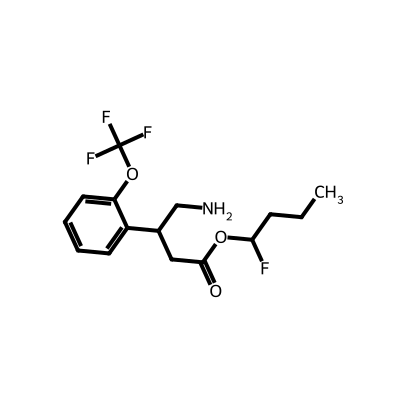 CCCC(F)OC(=O)CC(CN)c1ccccc1OC(F)(F)F